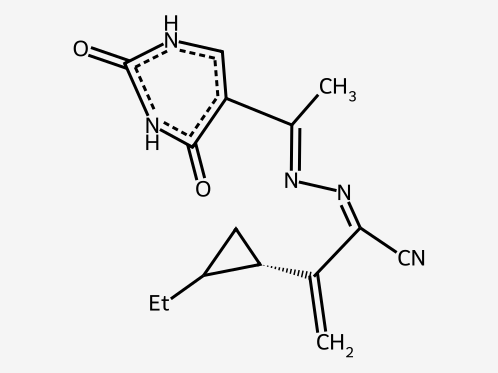 C=C(/C(C#N)=N\N=C(/C)c1c[nH]c(=O)[nH]c1=O)[C@H]1CC1CC